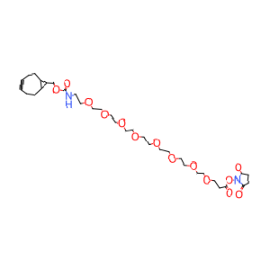 O=C(CCOCCOCCOCCOCCOCCOCCOCCOCCNC(=O)OCC1C2CCC#CCCC21)ON1C(=O)CCC1=O